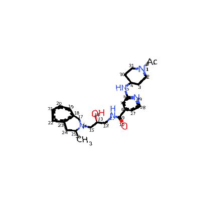 CC(=O)N1CCC(Nc2cc(C(=O)NC[C@H](O)CN3Cc4ccccc4CC3C)ccn2)CC1